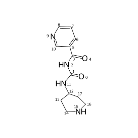 O=C(NC(=O)c1cccnc1)NC1CCNCC1